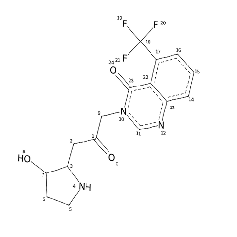 O=C(CC1NCCC1O)Cn1cnc2cccc(C(F)(F)F)c2c1=O